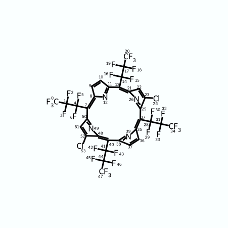 FC(F)(F)C(F)(F)C(F)(F)C1=C2C=CC(=N2)C(C(F)(F)C(F)(F)C(F)(F)F)=C2C=C(Cl)C(=N2)C(C(F)(F)C(F)(F)C(F)(F)F)=C2C=CC(=N2)C(C(F)(F)C(F)(F)C(F)(F)F)=C2N=C1C=C2Cl